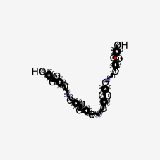 O=S(=O)(c1ccc(O/C=C/CCOc2ccc(S(=O)(=O)c3ccc(O)cc3)cc2)cc1)c1ccc(OC/C=C\COc2ccc(S(=O)(=O)c3ccc(O/C=C/CCOc4ccc(S(=O)(=O)c5ccc(O)cc5)cc4)cc3)cc2)cc1